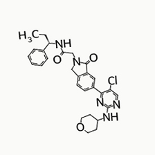 CC[C@@H](NC(=O)CN1Cc2ccc(-c3nc(NC4CCOCC4)ncc3Cl)cc2C1=O)c1ccccc1